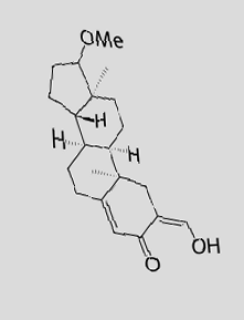 COC1CC[C@H]2[C@@H]3CCC4=CC(=O)C(=CO)C[C@]4(C)[C@@H]3CC[C@]12C